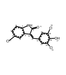 O=C1Nc2ccc(Cl)cc2C1=Cc1cc(Cl)c(O)c(Cl)c1